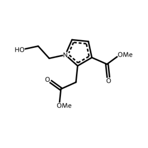 COC(=O)Cc1c(C(=O)OC)ccn1CCO